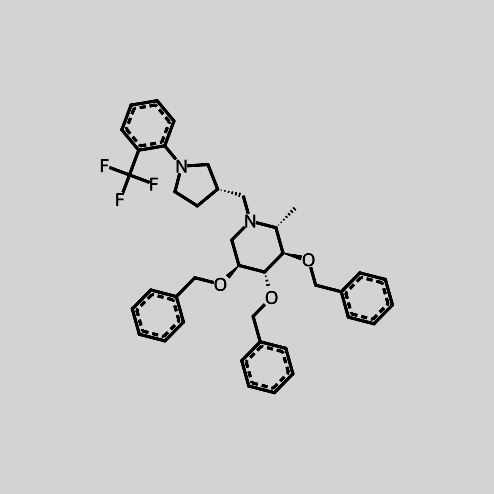 C[C@@H]1[C@@H](OCc2ccccc2)[C@H](OCc2ccccc2)[C@@H](OCc2ccccc2)CN1C[C@@H]1CCN(c2ccccc2C(F)(F)F)C1